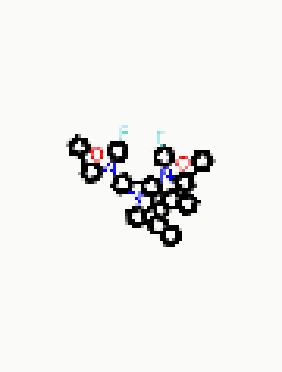 Fc1ccc(N(c2ccc3c(c2)c2cc(N(c4ccc(F)cc4)c4cccc5c4oc4ccccc45)cc4c2n3-c2ccccc2C42c3ccc4ccccc4c3-c3c2ccc2ccccc32)c2cccc3c2oc2ccccc23)cc1